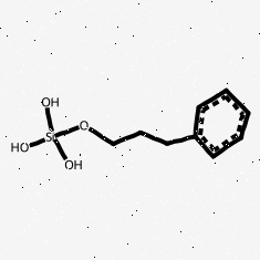 O[Si](O)(O)OCCCc1ccccc1